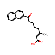 CC(=CC(=O)O)CCCCC(=O)c1ccc2ccccc2c1